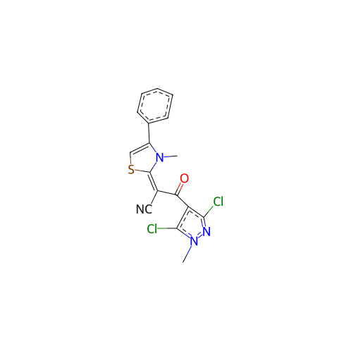 CN1C(c2ccccc2)=CS/C1=C(\C#N)C(=O)c1c(Cl)nn(C)c1Cl